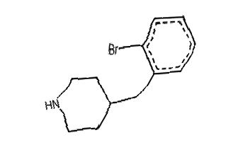 Brc1ccccc1CC1CCNCC1